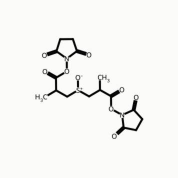 CC(C[S+]([O-])CC(C)C(=O)ON1C(=O)CCC1=O)C(=O)ON1C(=O)CCC1=O